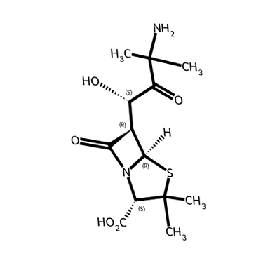 CC(C)(N)C(=O)[C@@H](O)[C@@H]1C(=O)N2[C@@H]1SC(C)(C)[C@@H]2C(=O)O